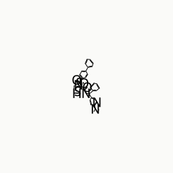 CN(C)c1ccc(C(NC(=O)C2SCCN2S(=O)(=O)c2ccc(-c3ccccc3)cc2)c2ccccc2)cn1